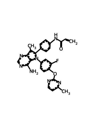 C=CC(=O)Nc1ccc(-c2c(C)c3ncnc(N)c3n2-c2ccc(Oc3nccc(C)n3)c(F)c2)cc1